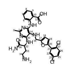 Cc1nc(Nc2ccccc2C(=O)O)c(NCc2ccc(-c3cc(Cl)ccc3Cl)o2)c(NC(CCN)C(N)=O)n1